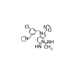 CC(=N)n1c(=N)ccc2c1cc(-c1ncco1)n2Cc1cc(Cl)cc(CN2CCCC2)c1